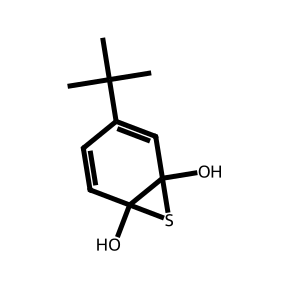 CC(C)(C)C1=CC2(O)SC2(O)C=C1